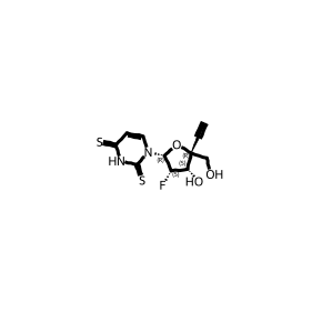 C#C[C@]1(CO)O[C@@H](n2ccc(=S)[nH]c2=S)[C@@H](F)[C@H]1O